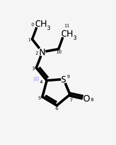 CCN(/C=C1/C=CC(=O)S1)CC